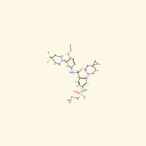 CCOc1ccc(NC(=O)c2ccc(NS(=O)(=O)CCO)cc2N2CCC3(CC2)CC3)nc1N1CCC(F)(F)CC1